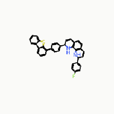 Fc1ccc(C2C=Cc3ccc4c(c3N2)NC(c2ccc(-c3cccc5c3sc3ccccc35)cc2)C=C4)cc1